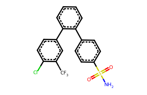 NS(=O)(=O)c1ccc(-c2ccccc2-c2ccc(Cl)c(C(F)(F)F)c2)cc1